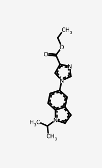 CCOC(=O)c1cn(-c2ccc3c(ccn3C(C)C)c2)cn1